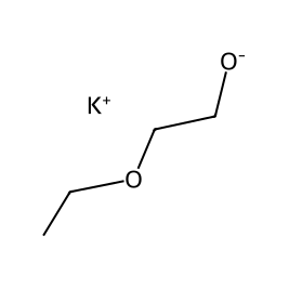 CCOCC[O-].[K+]